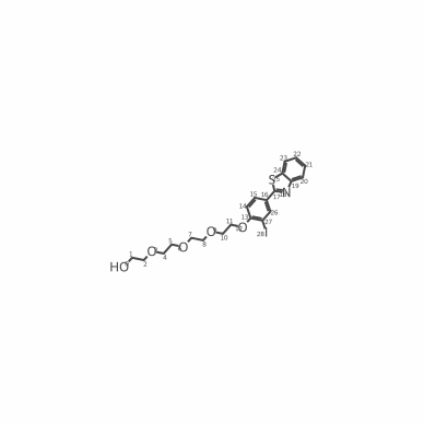 OCCOCCOCCOCCOc1ccc(-c2nc3ccccc3s2)cc1I